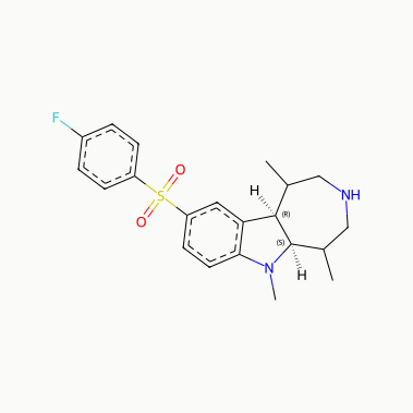 CC1CNCC(C)[C@@H]2c3cc(S(=O)(=O)c4ccc(F)cc4)ccc3N(C)[C@H]12